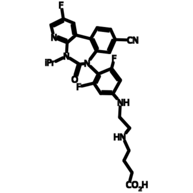 CC(C)N1C(=O)N(c2c(F)cc(NCCNCCCC(=O)O)cc2F)c2cc(C#N)ccc2-c2cc(F)cnc21